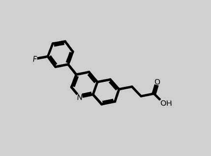 O=C(O)CCc1ccc2ncc(-c3cccc(F)c3)cc2c1